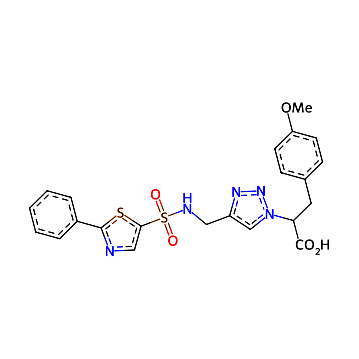 COc1ccc(CC(C(=O)O)n2cc(CNS(=O)(=O)c3cnc(-c4ccccc4)s3)nn2)cc1